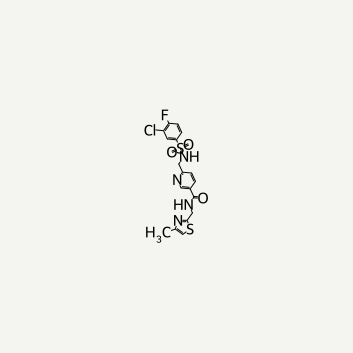 Cc1csc(CNC(=O)c2ccc(CNS(=O)(=O)c3ccc(F)c(Cl)c3)nc2)n1